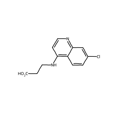 O=C(O)CCNc1ccnc2cc(Cl)ccc12